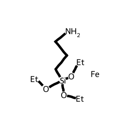 CCO[Si](CCCN)(OCC)OCC.[Fe]